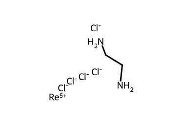 NCCN.[Cl-].[Cl-].[Cl-].[Cl-].[Cl-].[Re+5]